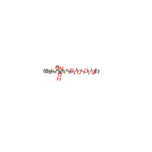 CCOCCOCCOCCOCCSCC(O)C(O)CSC(C)(C)C